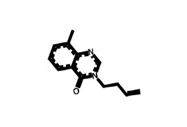 C=CCCn1cnc2c(C)cccc2c1=O